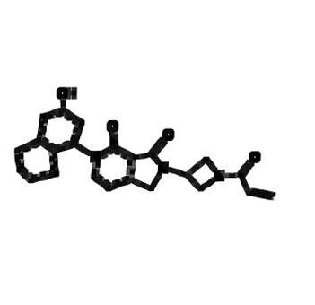 C=CC(=O)N1CC(N2Cc3ccn(-c4cc(O)cc5ccccc45)c(=O)c3C2=O)C1